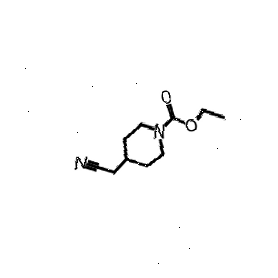 CCOC(=O)N1CCC(CC#N)CC1